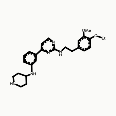 CCOc1ccc(CCNc2nccc(-c3cccc(NC4CCNCC4)c3)n2)cc1OC